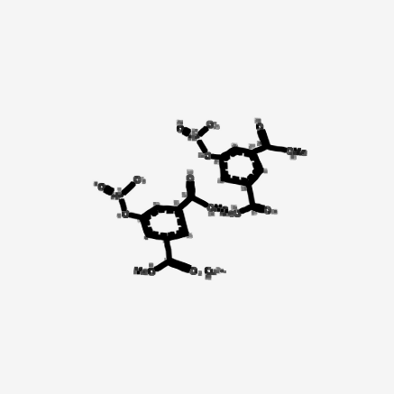 COC(=O)c1cc(O[PH](=O)[O-])cc(C(=O)OC)c1.COC(=O)c1cc(O[PH](=O)[O-])cc(C(=O)OC)c1.[Cu+2]